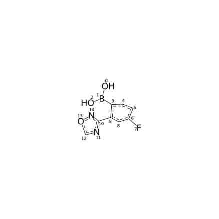 OB(O)c1ccc(F)cc1-c1ncon1